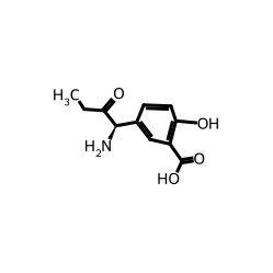 CCC(=O)[C@H](N)c1ccc(O)c(C(=O)O)c1